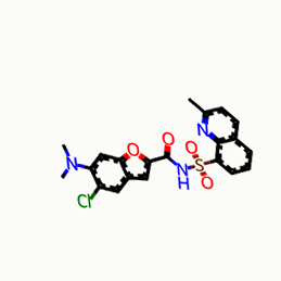 Cc1ccc2cccc(S(=O)(=O)NC(=O)c3cc4cc(Cl)c(N(C)C)cc4o3)c2n1